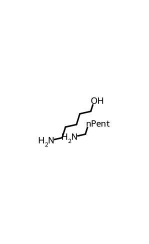 CCCCCCN.NCCCCCO